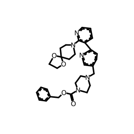 O=C(OCc1ccccc1)N1CCN(Cc2ccc(-c3cccnc3N3CCC4(CC3)OCCO4)nc2)CC1